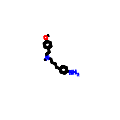 COc1ccc(CCN(C)CCCCc2ccc(N)cc2)cc1